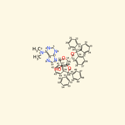 CN(C)c1ncnc2c1ncn2[C@@H]1O[C@H](COC(c2ccccc2)(c2ccccc2)c2ccccc2)[C@@H](OC(c2ccccc2)(c2ccccc2)c2ccccc2)[C@H]1O